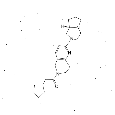 O=C(CC1CCCC1)N1CCc2nc(N3CCN4CCC[C@H]4C3)ccc2C1